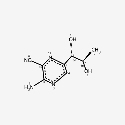 C[C@@H](O)[C@@H](O)c1cnc(N)c(C#N)n1